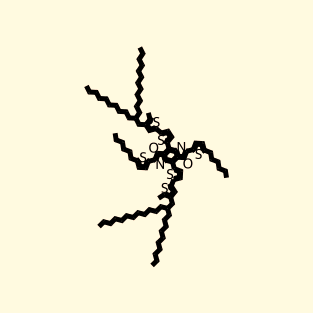 CCCCCCCCCCCCC(CCCCCCCCCC)Cc1cc(-c2ccc(-c3c4nc(-c5ccc(CCCCCC)s5)c(=O)c4c(-c4ccc(-c5cc(CC(CCCCCCCCCC)CCCCCCCCCCCC)c(C)s5)s4)c4nc(-c5ccc(CCCCCC)s5)c(=O)c34)s2)sc1C